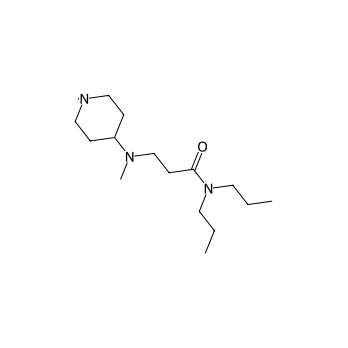 CCCN(CCC)C(=O)CCN(C)C1CC[N]CC1